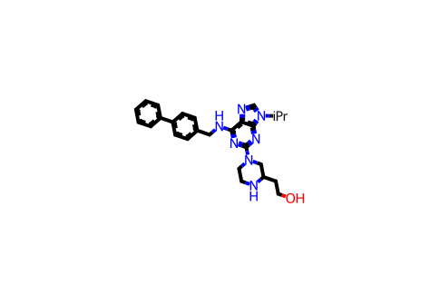 CC(C)n1cnc2c(NCc3ccc(-c4ccccc4)cc3)nc(N3CCNC(CCO)C3)nc21